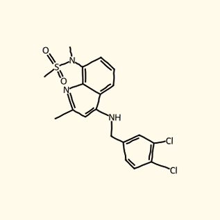 Cc1cc(NCc2ccc(Cl)c(Cl)c2)c2cccc(N(C)S(C)(=O)=O)c2n1